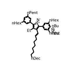 CCCCCCCCCCCCCCCCC=CC1=C(c2cc(CCCCC)cc(CCCCCC)c2)[N+](=[N-])C(c2cc(CCCCC)cc(CCCCCC)c2)=C1CC.CCC[CH2][Ni][CH2]CCC